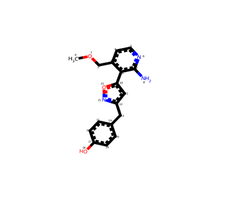 COCc1ccnc(N)c1-c1cc(Cc2ccc(O)cc2)no1